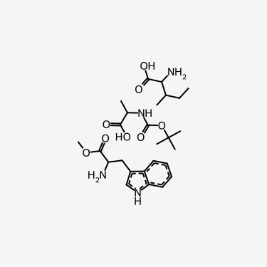 CC(NC(=O)OC(C)(C)C)C(=O)O.CCC(C)C(N)C(=O)O.COC(=O)C(N)Cc1c[nH]c2ccccc12